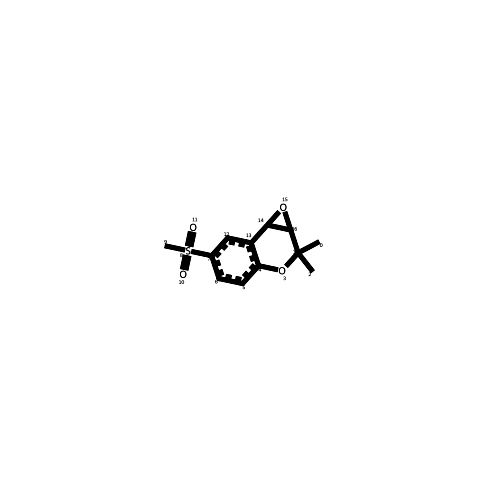 CC1(C)Oc2ccc(S(C)(=O)=O)cc2C2OC21